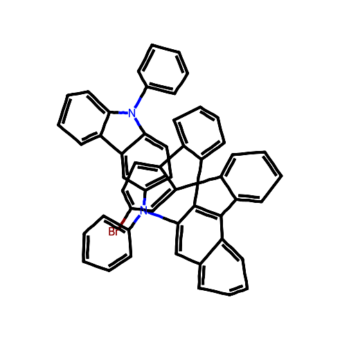 Brc1ccc2c(c1)C1(c3ccccc3-2)c2ccccc2-c2c1c(N(c1ccccc1)c1ccc3c(c1)c1ccccc1n3-c1ccccc1)cc1ccccc21